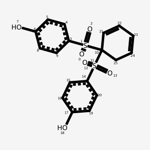 O=S(=O)(c1ccc(O)cc1)C1(S(=O)(=O)c2ccc(O)cc2)C=CC=CC1